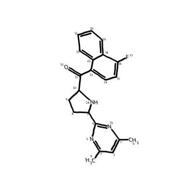 Cc1cc(C)nc(C2CCC(C(=O)c3ccc(F)c4ccccc34)N2)n1